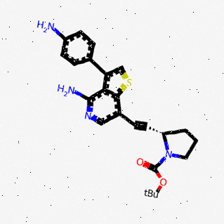 CC(C)(C)OC(=O)N1CCC[C@H]1C#Cc1cnc(N)c2c(-c3ccc(N)cc3)csc12